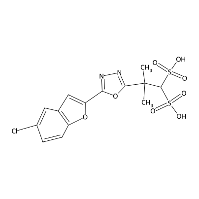 CC(C)(c1nnc(-c2cc3cc(Cl)ccc3o2)o1)C(S(=O)(=O)O)S(=O)(=O)O